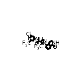 O=C(Nc1cc(Cl)nc(C(F)(F)F)c1)c1cnn(-c2cccc3c(=O)[nH]ccc23)c1C(F)(F)F